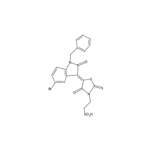 O=C1/C(=C2/C(=O)N(Cc3ccccc3)c3ccc(Br)cc32)SC(=S)N1CCS(=O)(=O)O